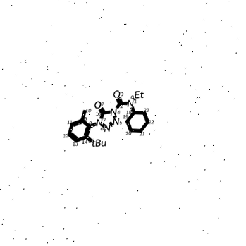 CCN(C(=O)n1nnn(-c2c(C)cccc2C(C)(C)C)c1=O)C1CCCCC1